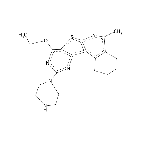 CCOc1nc(N2CCNCC2)nc2c1sc1nc(C)c3c(c12)CCCC3